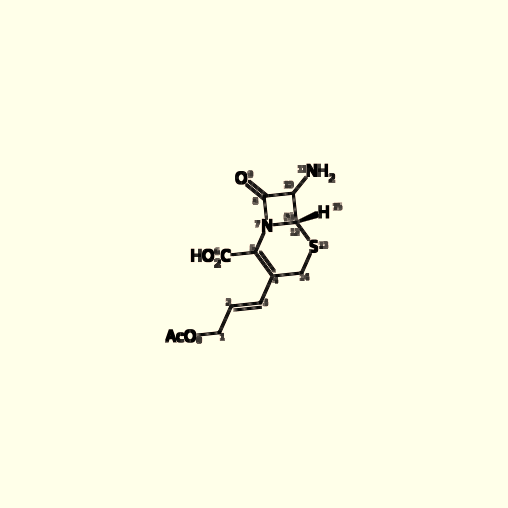 CC(=O)OCC=CC1=C(C(=O)O)N2C(=O)C(N)[C@@H]2SC1